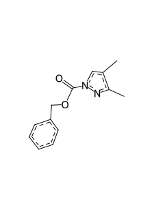 Cc1cn(C(=O)OCc2ccccc2)nc1C